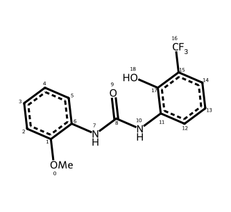 COc1ccccc1NC(=O)Nc1cccc(C(F)(F)F)c1O